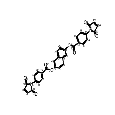 O=C(Oc1ccc2cc(OC(=O)c3ccc(N4C(=O)C=CC4=O)cc3)ccc2c1)c1ccc(N2C(=O)C=CC2=O)cc1